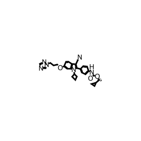 C[C@@H](OC(=O)Nc1ccc(-c2c(C#N)c3ccc(OCCCn4cncn4)cc3n2C2CCC2)cc1)C1CC1